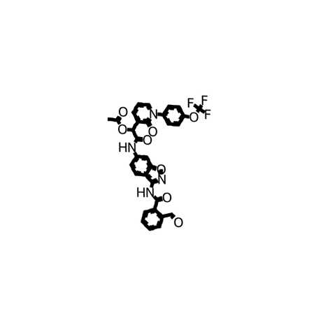 CC(=O)OC(C(=O)Nc1ccc2c(NC(=O)c3ccccc3C=O)noc2c1)c1cccn(-c2ccc(OC(F)(F)F)cc2)c1=O